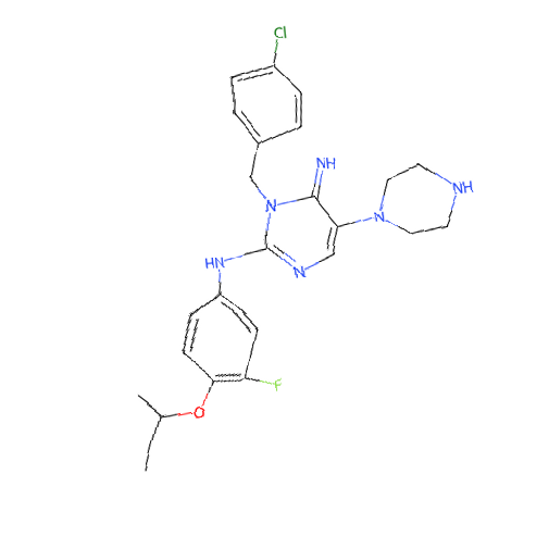 CC(C)Oc1ccc(Nc2ncc(N3CCNCC3)c(=N)n2Cc2ccc(Cl)cc2)cc1F